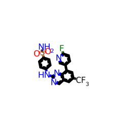 NS(=O)(=O)c1ccc(Nc2ncc3cc(C(F)(F)F)cc(-c4ccc(F)nc4)c3n2)cc1